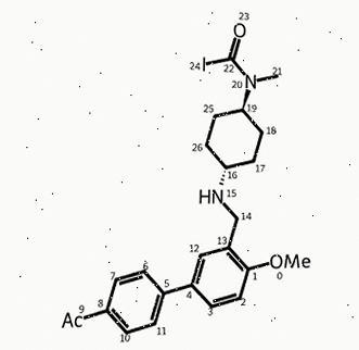 COc1ccc(-c2ccc(C(C)=O)cc2)cc1CN[C@H]1CC[C@H](N(C)C(=O)I)CC1